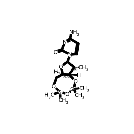 C[C@H]1C(n2ccc(N)nc2=O)O[C@@H]2CO[Si](C)(C)O[Si](C)(C)O[C@H]21